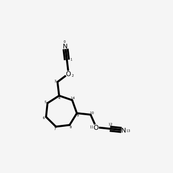 N#COCC1CCCCC(COC#N)C1